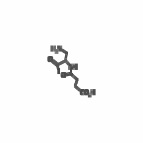 NCC(NC(=O)CCC(=O)O)C(=O)I